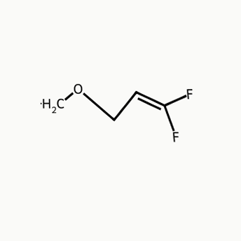 [CH2]OCC=C(F)F